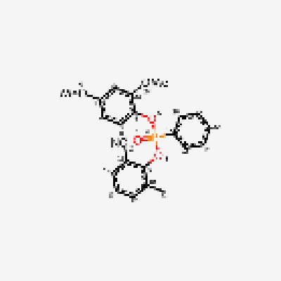 COc1ccc(O[P@](=O)(Oc2c(C)cccc2[N+](=O)[O-])c2ccccc2)c(OC)c1